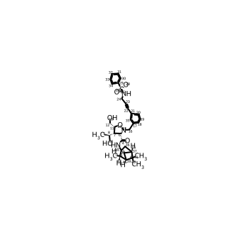 C[C@@H]1[C@@H](NC(=O)[C@@H]2[C@H]([C@H](C)O)[C@H](CO)ON2Cc2cccc(C#CCNS(=O)(=O)c3ccccc3)c2)C[C@H]2C[C@@H]1C2(C)C